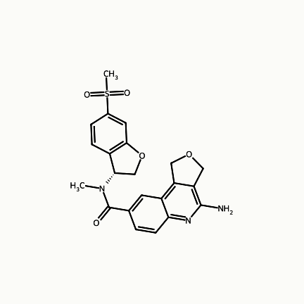 CN(C(=O)c1ccc2nc(N)c3c(c2c1)COC3)[C@H]1COc2cc(S(C)(=O)=O)ccc21